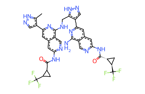 Cc1[nH]ncc1-c1cc2cc(NC(=O)C3CC3C(F)(F)F)ncc2c(NCc2[nH]ncc2-c2cc3cc(NC(=O)[C@@H]4C[C@H]4C(F)(F)F)ncc3c(N)n2)n1